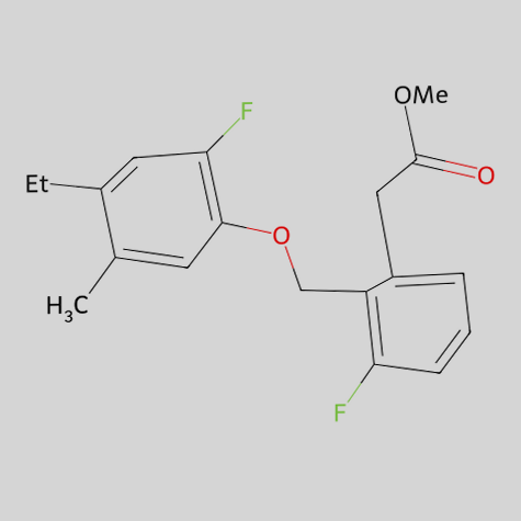 CCc1cc(F)c(OCc2c(F)cccc2CC(=O)OC)cc1C